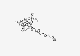 CCOCCOCCOCCOC[C@@]12CO[C@@H](O1)[C@H](N)[C@H]1OC(C)(C)O[C@H]12